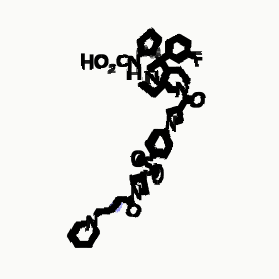 O=C(O)N[C@H]1CCC[C@@H]1C(CN1CCC1)(c1cccc(F)c1)C1CCN(C(=O)C2CN(c3ccc(S(=O)(=O)C4CN(C(=O)/C=C/CN5CCCCC5)C4)cc3)C2)CC1